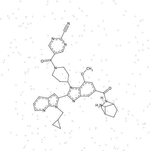 COc1cc(C(=O)N2CC3CCC2[C@@H]3N)cc2nc(-c3cc4cccnc4n3CC3CC3)n(C3CCN(C(=O)c4cnc(C#N)nc4)CC3)c12